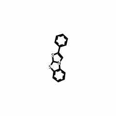 C1=C(c2ccccc2)SC2Sc3ccccc3N12